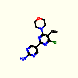 CSc1c(Cl)nc(-c2cnc(N)nc2)nc1N1CCOCC1